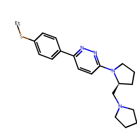 CCSc1ccc(-c2ccc(N3CCC[C@H]3CN3CCCC3)nn2)cc1